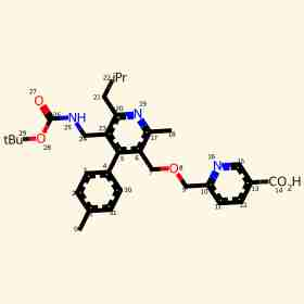 Cc1ccc(-c2c(COCc3ccc(C(=O)O)cn3)c(C)nc(CC(C)C)c2CNC(=O)OC(C)(C)C)cc1